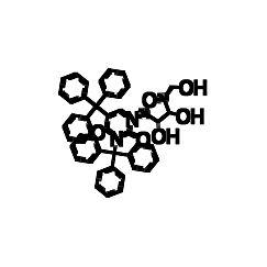 O=c1c(C(c2ccccc2)(c2ccccc2)c2ccccc2)cn([C@H]2O[C@@H](CO)C(O)C2O)c(=O)n1C(c1ccccc1)(c1ccccc1)c1ccccc1